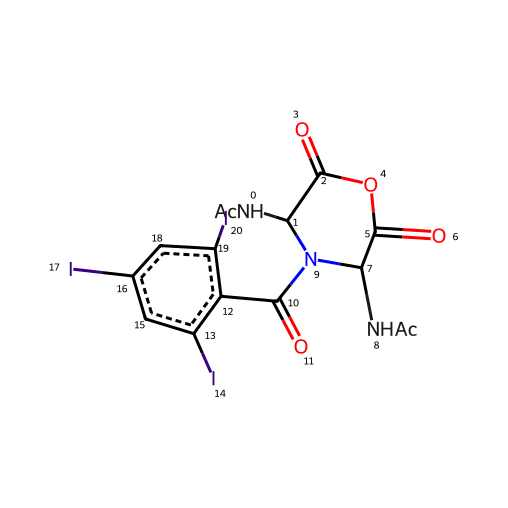 CC(=O)NC1C(=O)OC(=O)C(NC(C)=O)N1C(=O)c1c(I)cc(I)cc1I